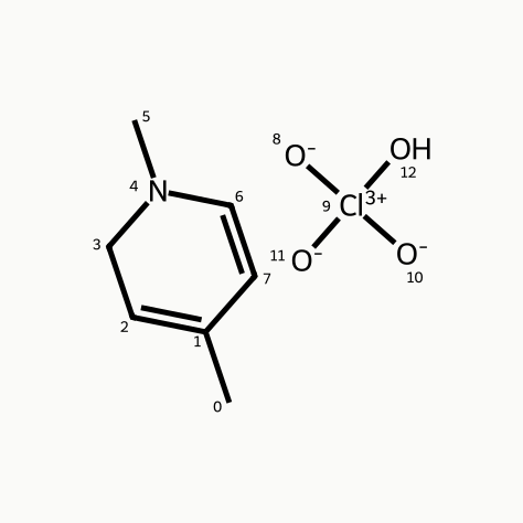 CC1=CCN(C)C=C1.[O-][Cl+3]([O-])([O-])O